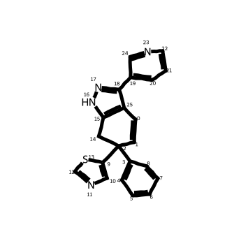 C1=CC(c2ccccc2)(c2cncs2)Cc2[nH]nc(-c3cccnc3)c21